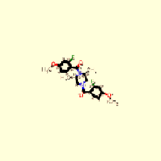 COc1ccc(C(=O)N2C[C@@H](C)N(C(=O)c3ccc(OC)cc3F)[C@@H](C)C2)c(F)c1